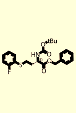 CC(C)(C)OC(=O)N[C@@H](CCSc1ccccc1F)C(=O)OCc1ccccc1